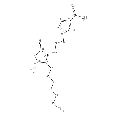 CCCCCCCC1[C@@H](CCCc2ccc(C(=O)O)s2)C(Cl)C[C@H]1O